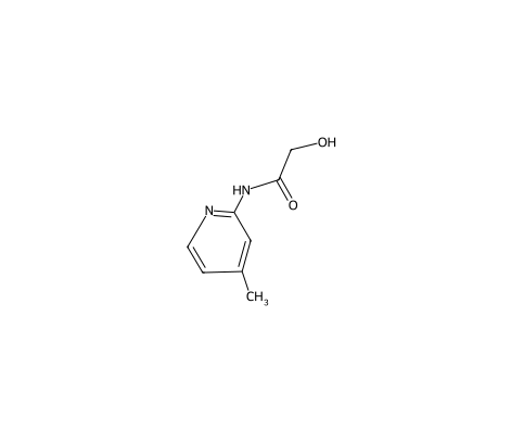 Cc1ccnc(NC(=O)CO)c1